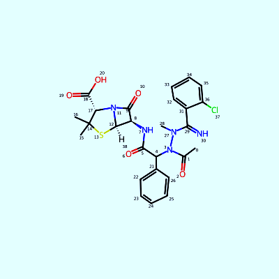 CC(=O)N(C(C(=O)N[C@@H]1C(=O)N2[C@@H]1SC(C)(C)[C@@H]2C(=O)O)c1ccccc1)N(C)C(=N)c1ccccc1Cl